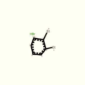 Br.CCc1ccccc1CC